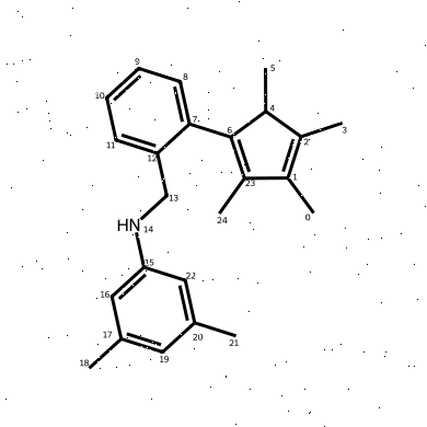 CC1=C(C)C(C)C(c2ccccc2CNc2cc(C)cc(C)c2)=C1C